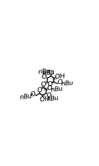 CCCCOCC1O[C@H](O[C@H]2O[C@H](COCCCC)[C@@H](O)C(OCCCC)C2OCCCC)[C@@H](OCCCC)C(OCCCC)[C@@H]1O